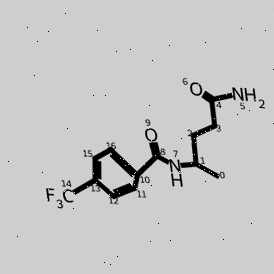 CC(CCC(N)=O)NC(=O)c1ccc(C(F)(F)F)cc1